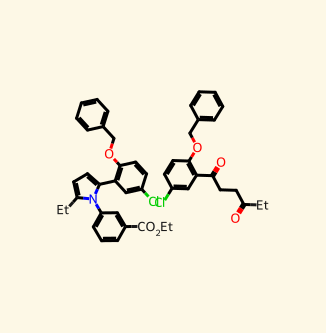 CCC(=O)CCC(=O)c1cc(Cl)ccc1OCc1ccccc1.CCOC(=O)c1cccc(-n2c(CC)ccc2-c2cc(Cl)ccc2OCc2ccccc2)c1